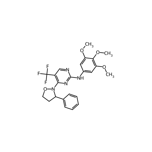 COc1cc(Nc2ncc(C(F)(F)F)c(N3OCCC3c3ccccc3)n2)cc(OC)c1OC